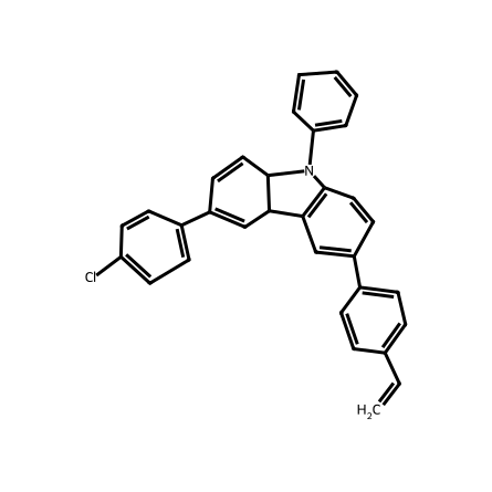 C=Cc1ccc(-c2ccc3c(c2)C2C=C(c4ccc(Cl)cc4)C=CC2N3c2ccccc2)cc1